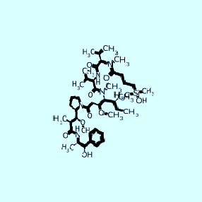 CC[C@@H](C)[C@H]([C@H](CC(=O)N1CCC[C@@H]1[C@@H](OC)[C@H](C)C(=O)N[C@@H](C)[C@H](O)c1ccccc1)OC)N(C)C(=O)[C@H](NC(=O)[C@@H](C(C)C)N(C)C(=O)CCC[Si](C)(C)O)C(C)C